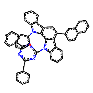 c1ccc(-c2nc(-c3ccccc3)nc(-n3c4ccccc4c4c(-c5ccc6ccccc6c5)cc5c6ccccc6n(-c6ccccc6)c5c43)n2)cc1